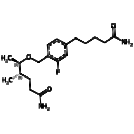 C[C@@H](CCC(N)=O)[C@@H](C)OCc1ccc(CCCCC(N)=O)cc1F